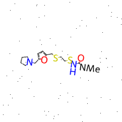 CNC(=O)NSCCSCc1ccc(CN2CCCC2)o1